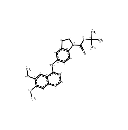 COc1cc2ncnc(Nc3ccc4c(c3)CCN4C(=O)OC(C)(C)C)c2cc1OC